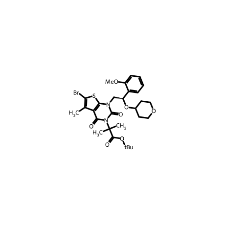 COc1ccccc1[C@H](Cn1c(=O)n(C(C)(C)C(=O)OC(C)(C)C)c(=O)c2c(C)c(Br)sc21)OC1CCOCC1